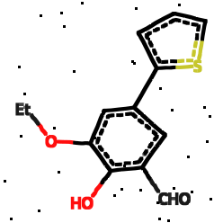 CCOc1cc(-c2cccs2)cc(C=O)c1O